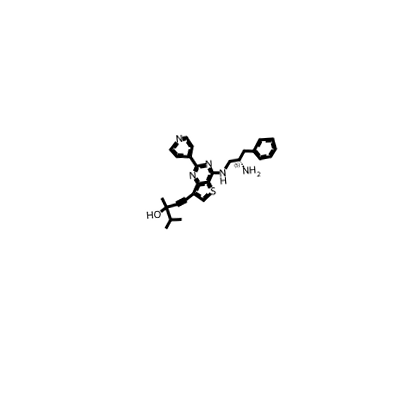 CC(C)C(C)(O)C#Cc1csc2c(NC[C@@H](N)Cc3ccccc3)nc(-c3ccncc3)nc12